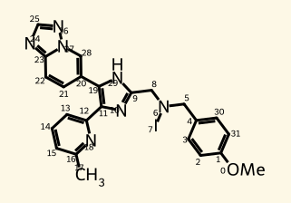 COc1ccc(CN(I)Cc2nc(-c3cccc(C)n3)c(-c3ccc4ncnn4c3)[nH]2)cc1